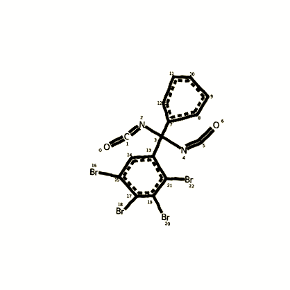 O=C=NC(N=C=O)(c1ccccc1)c1cc(Br)c(Br)c(Br)c1Br